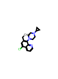 O=CCc1cc(Cl)c2cccnc2c1N1CCN(C2CC2)CC1